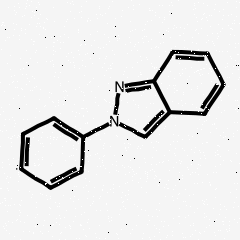 [c]1ccc(-n2cc3ccccc3n2)cc1